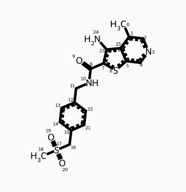 Cc1cncc2sc(C(=O)NCc3ccc(CS(C)(=O)=O)cc3)c(N)c12